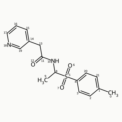 Cc1ccc(S(=O)(=O)C(C)NC(=O)Cc2cccnc2)cc1